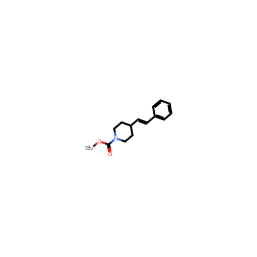 CC(C)(C)OC(=O)N1CCC(/C=C/c2ccccc2)CC1